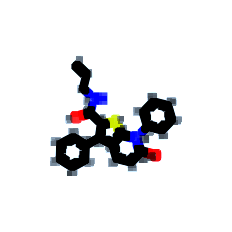 C=CCNC(=O)c1sc2c(ccc(=O)n2-c2ccccc2)c1-c1ccccc1